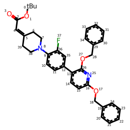 CC(C)(C)OC(=O)C=C1CCN(c2ccc(-c3ccc(OCc4ccccc4)nc3OCc3ccccc3)cc2F)CC1